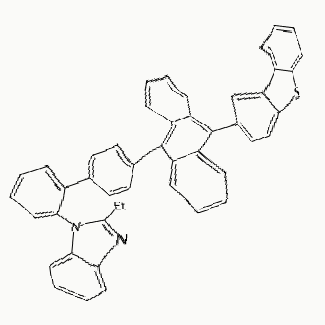 CCc1nc2ccccc2n1-c1ccccc1-c1ccc(-c2c3ccccc3c(-c3ccc4sc5ccccc5c4c3)c3ccccc23)cc1